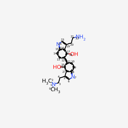 CN(C)CCC1=CN=c2ccc(=c3ccc4c(c3O)C(CCN)=CN=4)c(O)c21